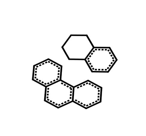 c1ccc2c(c1)CCCC2.c1ccc2c(c1)ccc1ccccc12